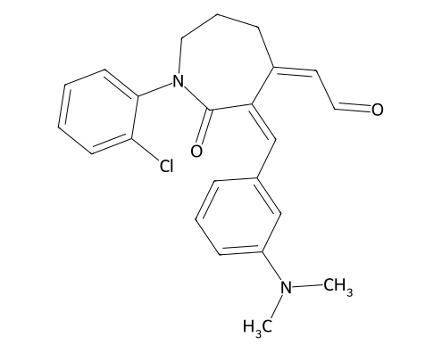 CN(C)c1cccc(/C=C2\C(=O)N(c3ccccc3Cl)CCC\C2=C\C=O)c1